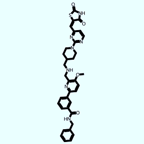 COc1ccc(-c2cccc(C(=O)NCc3ccccc3)c2)nc1CNCC1CCN(c2nccc(C=C3SC(=O)NC3=O)n2)CC1